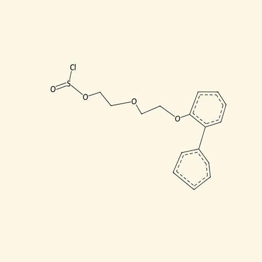 O=S(Cl)OCCOCCOc1ccccc1-c1ccccc1